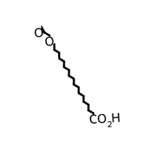 O=C(O)CCCCCCCCCCCCCCCCCOCC1CO1